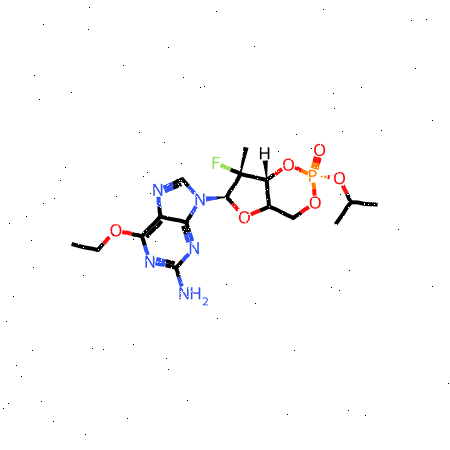 CCOc1nc(N)nc2c1ncn2[C@@H]1OC2CO[P@@](=O)(OC(C)C)O[C@H]2[C@@]1(C)F